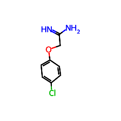 N=C(N)COc1ccc(Cl)cc1